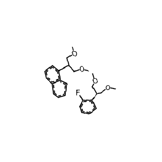 COCC(COC)c1cccc2ccccc12.COCC(COC)c1ccccc1F